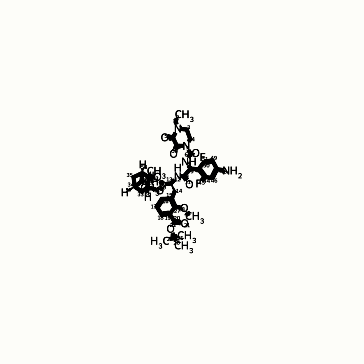 CCN1CCN(C(=O)NC(C(=O)N[C@@H](Cc2cccc(C(=O)OC(C)(C)C)c2OC)B2O[C@@H]3C[C@@H]4C[C@@H](C4(C)C)[C@]3(C)O2)c2c(F)cc(N)cc2F)C(=O)C1=O